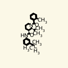 Cc1ccccc1C(=O)N1CCC[C@H](C(=O)Nc2cccc(C(C)(C)C)c2)[C@@H]1C(C)C